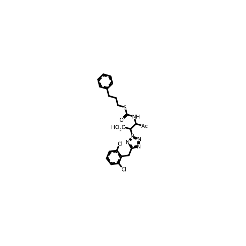 CC(=O)C(NC(=O)SCCCc1ccccc1)C(C(=O)O)n1nnc(Cc2c(Cl)cccc2Cl)n1